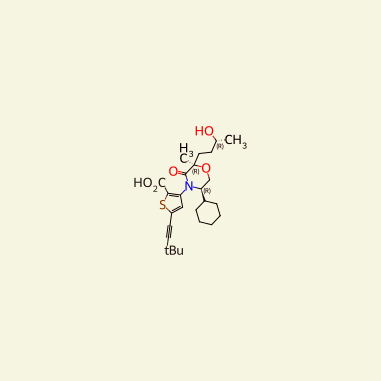 C[C@@H](O)CC[C@@]1(C)OC[C@@H](C2CCCCC2)N(c2cc(C#CC(C)(C)C)sc2C(=O)O)C1=O